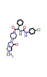 CN1C=C2C(=O)N(N3CCN(C(=O)[C@H](NC(=O)Nc4ccc(Cl)cc4)c4ccccc4)CC3)CN2C1